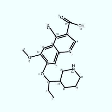 CCC(Oc1cc2ncc(C(=O)O)c(Cl)c2cc1OC)C1CCCNC1